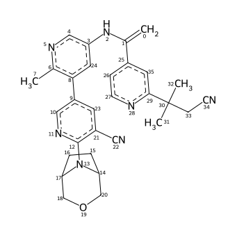 C=C(Nc1cnc(C)c(-c2cnc(N3C4CCC3COC4)c(C#N)c2)c1)c1ccnc(C(C)(C)CC#N)c1